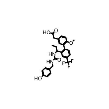 CCC(NC(=O)NCc1ccc(O)cc1)c1cc(C(F)(F)F)ccc1-c1cc(CC(=O)O)ccc1OC